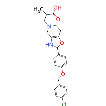 CC(CN1CCC2=C(C1)NC(c1ccc(OCc3ccc(Cl)cc3)cc1)O2)C(=O)O